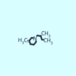 CCC(C)CN1CCC[C@H](C)C1